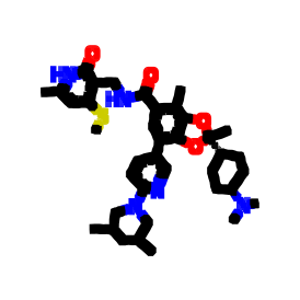 CSc1cc(C)[nH]c(=O)c1CNC(=O)c1cc(-c2ccc(N3CC(C)CC(C)C3)nc2)c2c(c1C)OC(C)([C@H]1CC[C@H](N(C)C)CC1)O2